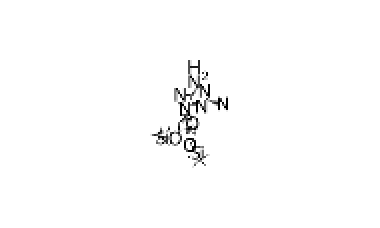 CC(C)(C)[Si](C)(C)OC[C@H]1O[C@@H](n2cnc3c(N)nc(C#N)nc32)CC1O[Si](C)(C)C(C)(C)C